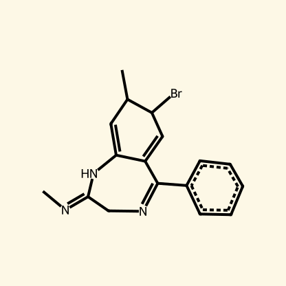 C/N=C1/CN=C(c2ccccc2)C2=CC(Br)C(C)C=C2N1